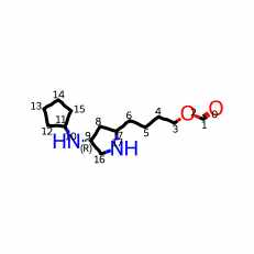 O=COCCCCC1C[C@@H](NC2CCCC2)CN1